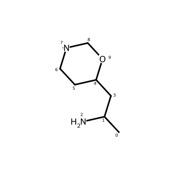 CC(N)CC1CC[N]CO1